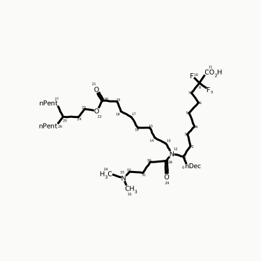 CCCCCCCCCCC(CCCCCCC(F)(F)C(=O)O)N(CCCCCCCC(=O)OCCC(CCCCC)CCCCC)C(=O)CCCN(C)C